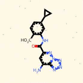 Nc1cc(C(=O)Nc2cc(C3CC3)ccc2C(=O)O)nn2nnnc12